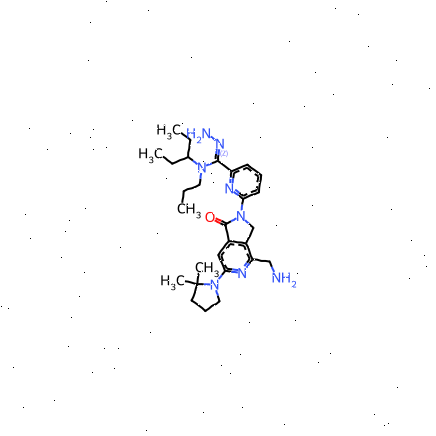 CCCN(/C(=N\N)c1cccc(N2Cc3c(cc(N4CCCC4(C)C)nc3CN)C2=O)n1)C(CC)CC